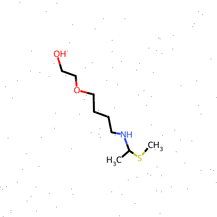 CSC(C)NCCCCOCCO